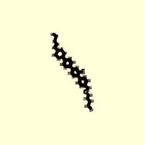 CCC/C=C/C1CCC(c2ccc(-c3ccc(-c4ccc(COCCCCC)cc4)c(F)c3)cc2)CC1